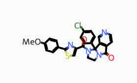 COc1ccc(-c2nc(C(=O)N3CCN4C(=O)c5ccncc5C34c3ccc(Cl)cc3)cs2)cc1